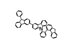 c1ccc(C2c3ccccc3-c3cc(-c4ccc5c(c4)c4ccccc4n5-c4ccccc4-c4cccc5c4-c4ccccc4C5)ccc32)cc1